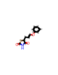 O=C1NC(=O)C(CC=COc2ccccc2)S1